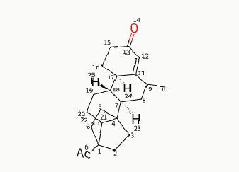 CC(=O)C12CCC3(CC1)[C@@H]1CC(C)C4=CC(=O)CC[C@@H]4[C@H]1CC[C@]23C